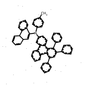 Cc1ccc(N(C2=CC3C=CC=CC3c3ccccc32)c2ccc3c(c2)c2ccccc2c2c(-c4ccccc4)cc(-c4ccccc4)c(-c4ccccc4)c32)cc1